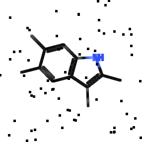 Cc1cc2[nH]c(C)c(C)c2cc1C